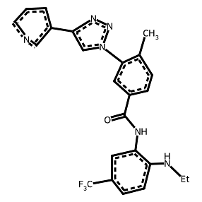 CCNc1ccc(C(F)(F)F)cc1NC(=O)c1ccc(C)c(-n2cc(-c3cccnc3)nn2)c1